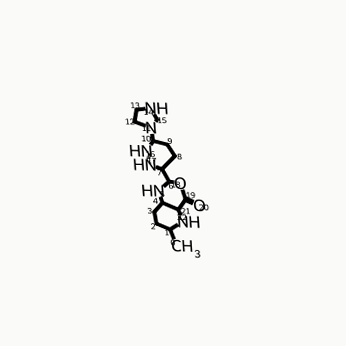 CC1CCC2NC(C3CCC(N4CCNC4)NN3)OC(=O)C2N1